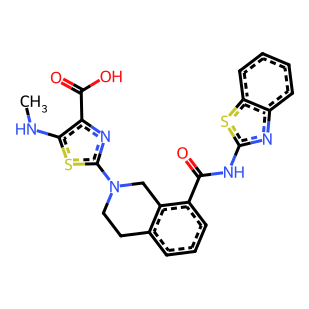 CNc1sc(N2CCc3cccc(C(=O)Nc4nc5ccccc5s4)c3C2)nc1C(=O)O